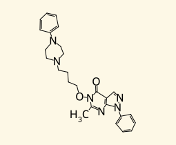 Cc1nc2c(cnn2-c2ccccc2)c(=O)n1OCCCCN1CCN(c2ccccc2)CC1